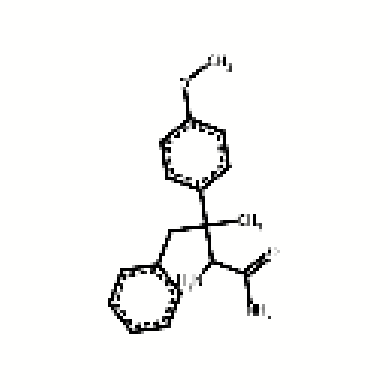 COc1ccc(C(C)(Cc2ccccc2)C(N)C(N)=O)cc1